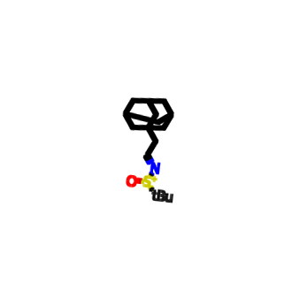 CC(C)(C)[S+]([O-])/N=C/CC12CC3CC(CC(C3)C1)C2